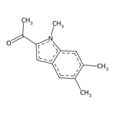 CC(=O)c1cc2cc(C)c(C)cc2n1C